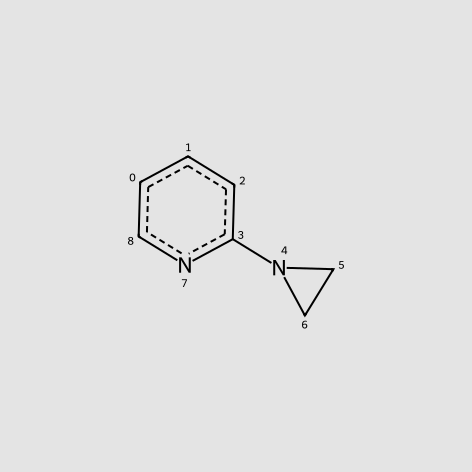 c1ccc(N2CC2)nc1